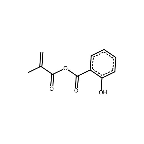 C=C(C)C(=O)OC(=O)c1ccccc1O